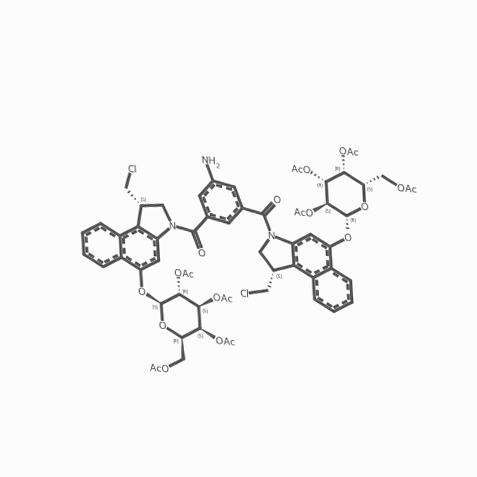 CC(=O)OC[C@@H]1O[C@H](Oc2cc3c(c4ccccc24)[C@H](CCl)CN3C(=O)c2cc(N)cc(C(=O)N3C[C@@H](CCl)c4c3cc(O[C@@H]3O[C@H](COC(C)=O)[C@H](OC(C)=O)[C@H](OC(C)=O)[C@H]3OC(C)=O)c3ccccc43)c2)[C@@H](OC(C)=O)[C@H](OC(C)=O)[C@@H]1OC(C)=O